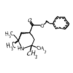 CC1(C)CC(C(=O)OCc2ccccc2)CC(C)(C)N1